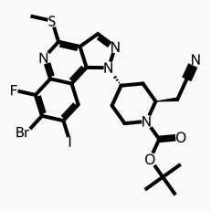 CSc1nc2c(F)c(Br)c(I)cc2c2c1cnn2[C@H]1CCN(C(=O)OC(C)(C)C)[C@H](CC#N)C1